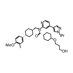 COc1ccc([C@H]2CC[C@H](CN(c3cc(-c4cnn(C(C)C)c4)ccn3)C(=O)[C@H]3CC[C@H](OCCCO)CC3)CC2)cc1C